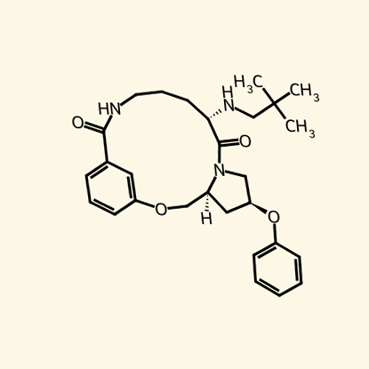 CC(C)(C)CN[C@H]1CCCNC(=O)c2cccc(c2)OC[C@@H]2C[C@H](Oc3ccccc3)CN2C1=O